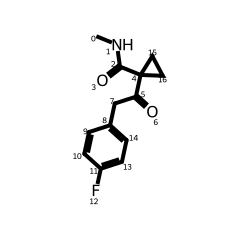 CNC(=O)C1(C(=O)Cc2ccc(F)cc2)CC1